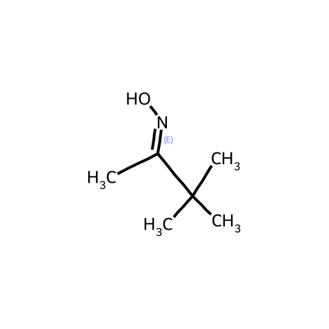 C/C(=N\O)C(C)(C)C